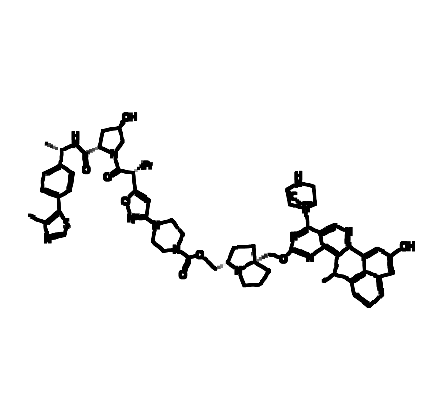 Cc1ncsc1-c1ccc([C@H](C)NC(=O)[C@@H]2C[C@@H](O)CN2C(=O)[C@@H](c2cc(N3CCN(C(=O)OC[C@@H]4CC[C@@]5(COc6nc(N7CC8CCCC7CN8)c7cnc8c(c7n6)C(C)c6cccc7cc(O)cc-8c67)CCCN45)CC3)no2)C(C)C)cc1